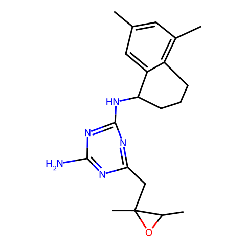 Cc1cc(C)c2c(c1)C(Nc1nc(N)nc(CC3(C)OC3C)n1)CCC2